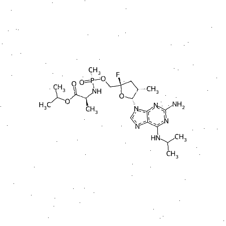 CC(C)Nc1nc(N)nc2c1ncn2[C@@H]1O[C@](F)(CO[P@](C)(=O)N[C@@H](C)C(=O)OC(C)C)C[C@@H]1C